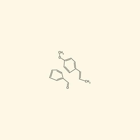 C/C=C/c1ccc(OC)cc1.O=Cc1ccccc1